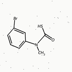 CN(C(=O)S)c1cccc(Br)c1